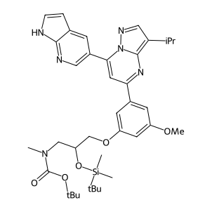 COc1cc(OCC(CN(C)C(=O)OC(C)(C)C)O[Si](C)(C)C(C)(C)C)cc(-c2cc(-c3cnc4[nH]ccc4c3)n3ncc(C(C)C)c3n2)c1